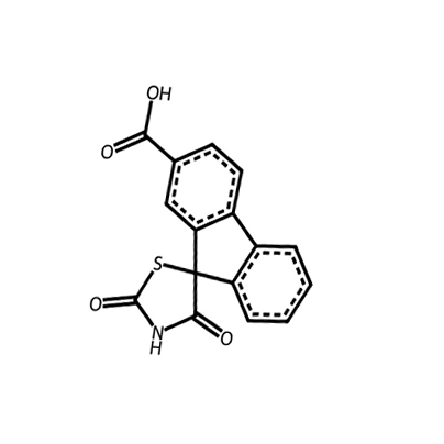 O=C1NC(=O)C2(S1)c1ccccc1-c1ccc(C(=O)O)cc12